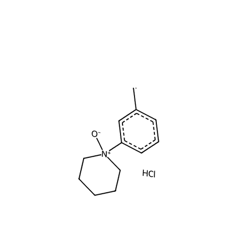 Cl.[CH2]c1cccc([N+]2([O-])CCCCC2)c1